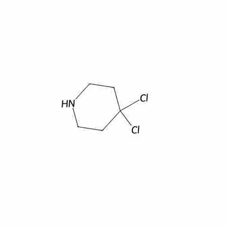 ClC1(Cl)CCNCC1